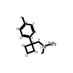 Cc1ccc(C2(CN(C)C(C)C)CCC2)cc1